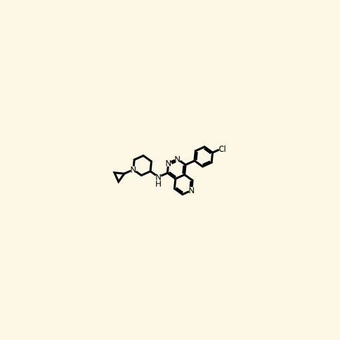 Clc1ccc(-c2nnc(NC3CCCN(C4CC4)C3)c3ccncc23)cc1